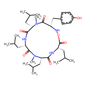 CC(C)C[C@@H]1NC(=O)[C@H](CC(C)C)N(C)C(=O)[C@H](CC(C)C)NC(=O)[C@H](CC(C)C)N(C)C(=O)[C@H](Cc2ccc(O)cc2)NOC1=O